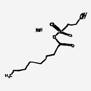 CCCCCCCC(=O)OS(=O)(=O)CCO.[NaH]